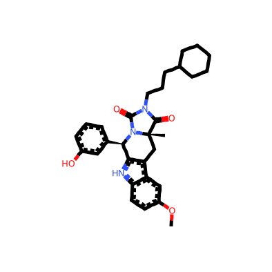 COc1ccc2[nH]c3c(c2c1)C[C@@]1(C)C(=O)N(CCCC2CCCCC2)C(=O)N1[C@@H]3c1cccc(O)c1